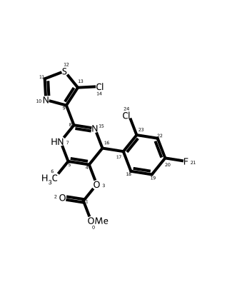 COC(=O)OC1=C(C)NC(c2ncsc2Cl)=NC1c1ccc(F)cc1Cl